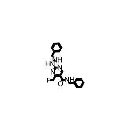 O=C(NCc1ccccc1)c1cnc(NNCc2ccccc2)nc1CF